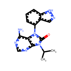 CC(C)n1c(=O)n(-c2cccc3[nH]ncc23)c2c(N)ncnc21